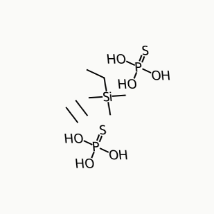 CC.CC.CC[Si](C)(C)C.OP(O)(O)=S.OP(O)(O)=S